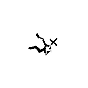 C=C/C=c1/nnn(C(C)(C)C)/c1=C/C=C